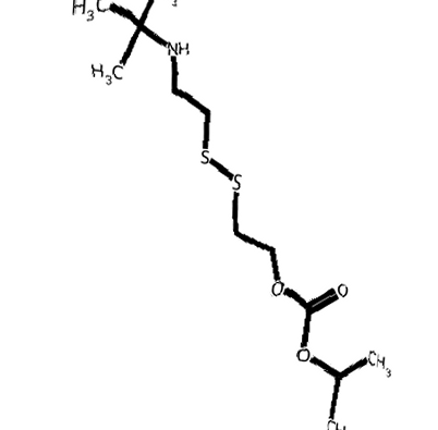 CC(C)OC(=O)OCCSSCCNC(C)(C)C